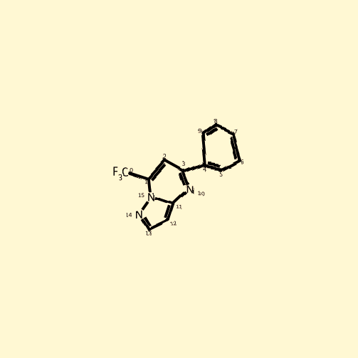 FC(F)(F)c1cc(-c2ccccc2)nc2ccnn12